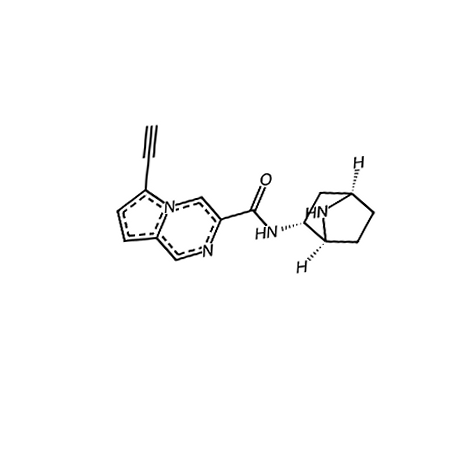 C#Cc1ccc2cnc(C(=O)N[C@@H]3C[C@H]4CC[C@@H]3N4)cn12